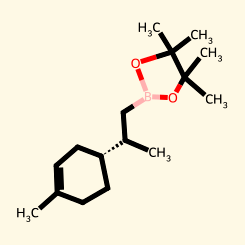 CC1=CC[C@H](C(C)CB2OC(C)(C)C(C)(C)O2)CC1